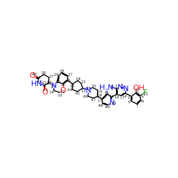 Nc1nnc(-c2cccc(F)c2O)cc1-c1cc(C2CCN(C3CCC(c4cccc5c4OCCN5[C@H]4CCC(=O)NC4=O)CC3)CC2)ccn1